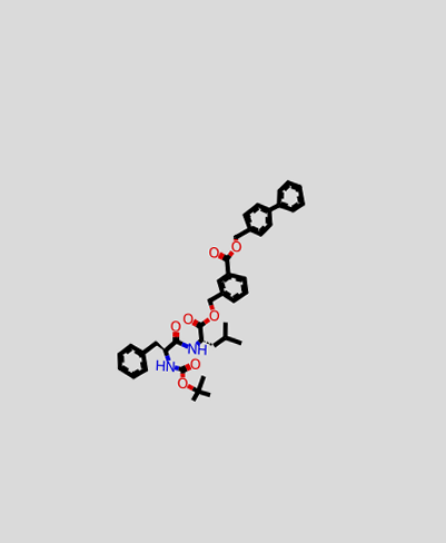 CC(C)C[C@H](NC(=O)[C@H](Cc1ccccc1)NC(=O)OC(C)(C)C)C(=O)OCc1cccc(C(=O)OCc2ccc(-c3ccccc3)cc2)c1